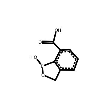 O=C(O)c1cccc2c1B(O)OC2